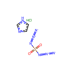 Cl.[N-]=[N+]=NS(=O)(=O)N=[N+]=[N-].c1c[nH]cn1